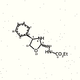 CCOC(=O)NN=C1N[C@H](c2ccccc2)CO1